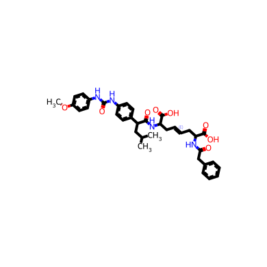 COc1ccc(NC(=O)Nc2ccc(C(CC(C)C)C(=O)NC(C/C=C/CC(NC(=O)Cc3ccccc3)C(=O)O)C(=O)O)cc2)cc1